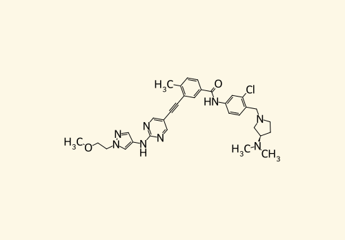 COCCn1cc(Nc2ncc(C#Cc3cc(C(=O)Nc4ccc(CN5CC[C@@H](N(C)C)C5)c(Cl)c4)ccc3C)cn2)cn1